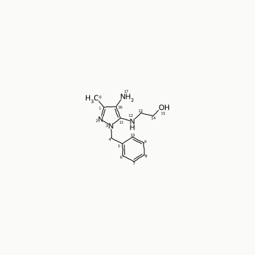 Cc1nn(Cc2ccccc2)c(NCCO)c1N